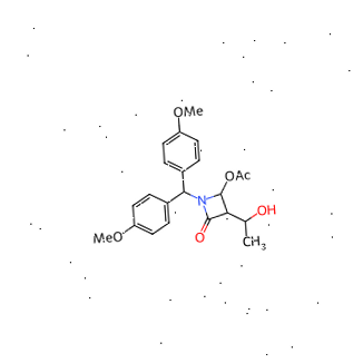 COc1ccc(C(c2ccc(OC)cc2)N2C(=O)C(C(C)O)C2OC(C)=O)cc1